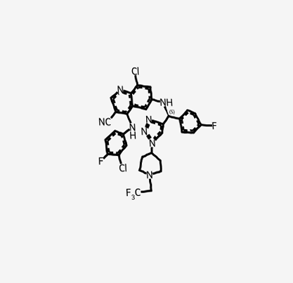 N#Cc1cnc2c(Cl)cc(N[C@@H](c3ccc(F)cc3)c3cn(C4CCN(CC(F)(F)F)CC4)nn3)cc2c1Nc1ccc(F)c(Cl)c1